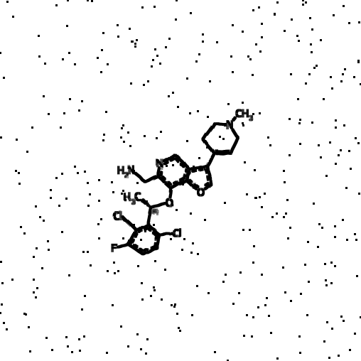 C[C@@H](Oc1c(CN)ncc2c(C3=CCN(C)CC3)coc12)c1c(Cl)ccc(F)c1Cl